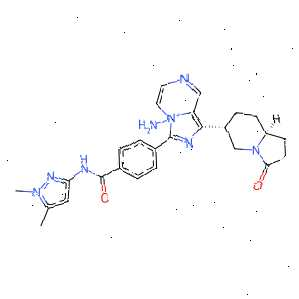 Cc1cc(NC(=O)c2ccc(C3=NC([C@@H]4CC[C@H]5CCC(=O)N5C4)=C4C=NC=C[N+]34N)cc2)nn1C